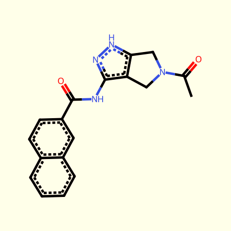 CC(=O)N1Cc2[nH]nc(NC(=O)c3ccc4ccccc4c3)c2C1